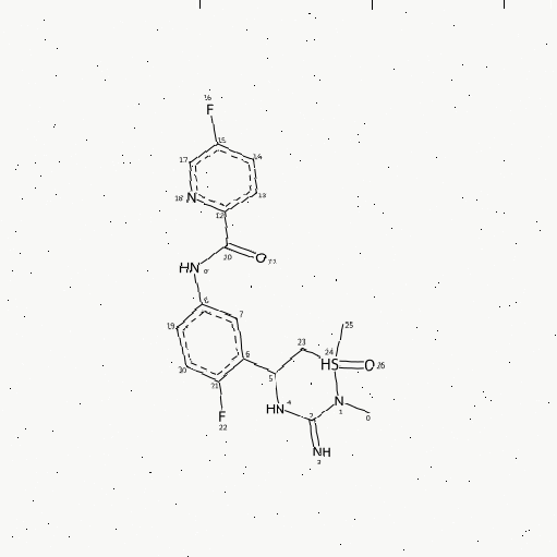 CN1C(=N)NC(c2cc(NC(=O)c3ccc(F)cn3)ccc2F)C[SH]1(C)=O